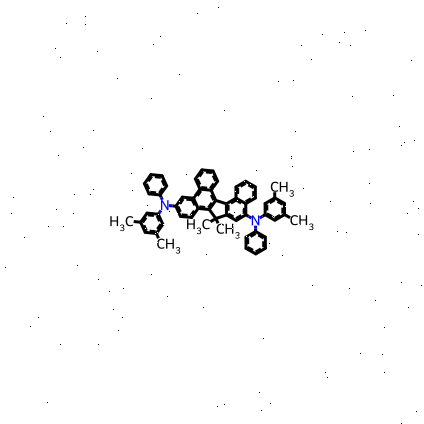 Cc1cc(C)cc(N(c2ccccc2)c2ccc3c4c(c5ccccc5c3c2)-c2c(cc(N(c3ccccc3)c3cc(C)cc(C)c3)c3ccccc23)C4(C)C)c1